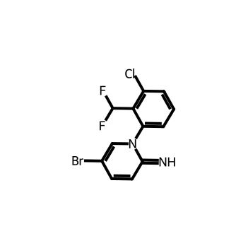 N=c1ccc(Br)cn1-c1cccc(Cl)c1C(F)F